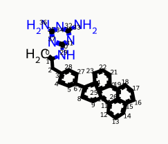 C=C(Cc1ccc(-c2ccc3c4cccc5cccc(c6cccc2c63)c54)cc1)Nc1nc(N)nc(N)n1